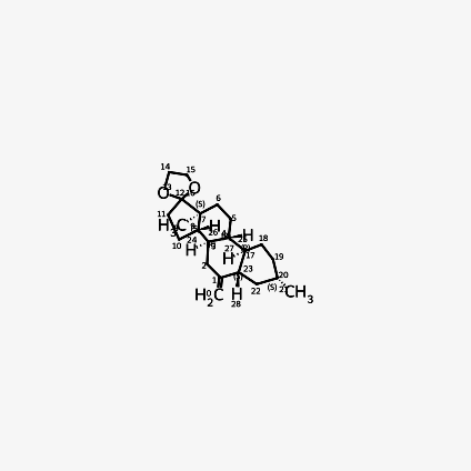 C=C1C[C@@H]2[C@H](CC[C@@]3(C)[C@H]2CCC32OCCO2)[C@H]2CC[C@H](C)C[C@H]12